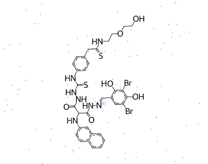 O=C(N/N=C/c1cc(Br)c(O)c(Br)c1O)C(Nc1ccc2ccccc2c1)C(=O)NNC(=S)Nc1ccc(CC(=S)NCCOCCO)cc1